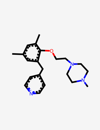 Cc1cc(C)c(OCCN2CCN(C)CC2)c(Cc2ccncc2)c1